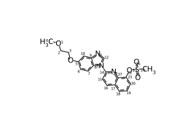 COCCOc1ccc2c(c1)ncn2-c1ccc2cccc(OS(C)(=O)=O)c2n1